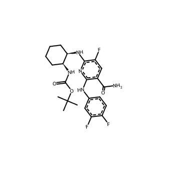 CC(C)(C)OC(=O)N[C@H]1CCCC[C@H]1Nc1nc(Nc2ccc(F)c(F)c2)c(C(N)=O)cc1F